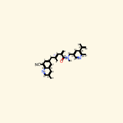 C=C(/C=C(\C)Cc1cc(C#N)c2ncc(C)cc2c1)C(=O)N(C)Cc1cnc(C)c(C(=C)C)c1